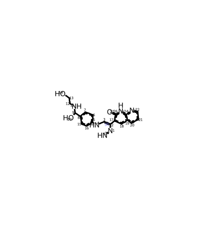 N=N/C(=C\Nc1ccc(C(O)NCCO)cc1)c1cc2cccnc2[nH]c1=O